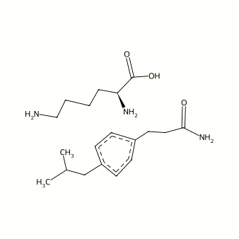 CC(C)Cc1ccc(CCC(N)=O)cc1.NCCCC[C@H](N)C(=O)O